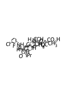 CC(C)C1=C2[C@H]3CC[C@@H]4[C@@]5(C)CC[C@H](OC(=O)CC(C)(C)C(=O)O)C(C)(C)[C@@H]5CC[C@@]4(C)[C@]3(C)CC[C@@]2(CCNCc2cccc(Cl)c2F)CC1=O